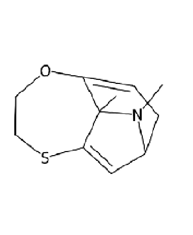 CN1C2C=C3SCCOC(=CC2)C31C